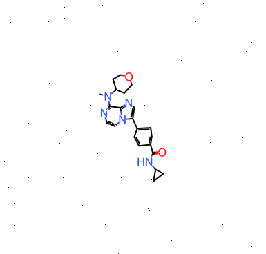 CN(c1nccn2c(-c3ccc(C(=O)NC4CC4)cc3)cnc12)C1CCOCC1